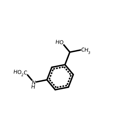 CC(O)c1cccc(NC(=O)O)c1